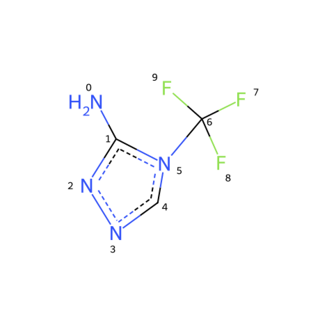 Nc1nncn1C(F)(F)F